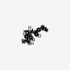 COCC(NC(=O)C(C)NCc1ccc(Cl)cc1Oc1ccc(-c2cnc(CN3CCC3)n2C)cc1)C(=O)N[C@@]1(Cc2ccc(Cl)cc2)CCCN(C(=O)C(CC(=O)O)CC(F)(F)F)C1